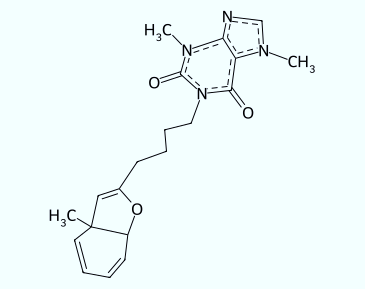 Cn1cnc2c1c(=O)n(CCCCC1=CC3(C)C=CC=CC3O1)c(=O)n2C